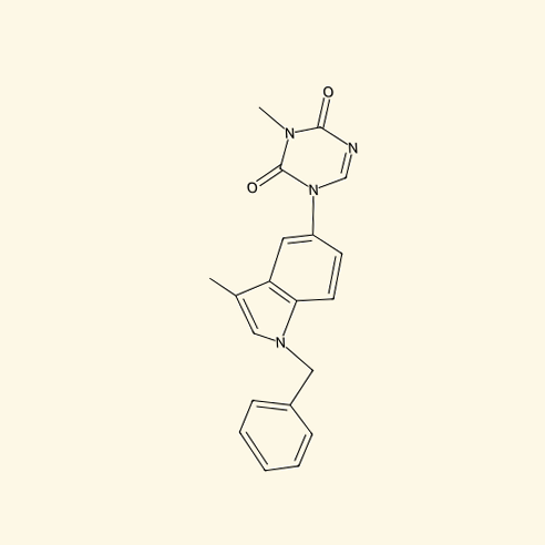 Cc1cn(Cc2ccccc2)c2ccc(-n3cnc(=O)n(C)c3=O)cc12